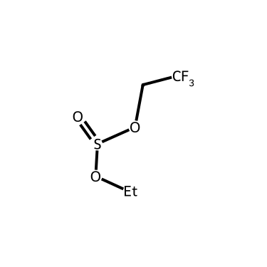 CCOS(=O)OCC(F)(F)F